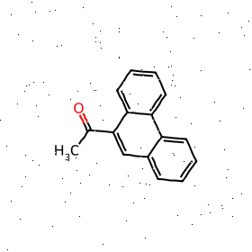 CC(=O)c1cc2ccccc2c2ccccc12